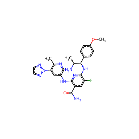 COc1ccc([C@@H](Nc2nc(Nc3cnc(C)c(-n4nccn4)c3)c(C(N)=O)cc2F)[C@H](C)N)cc1